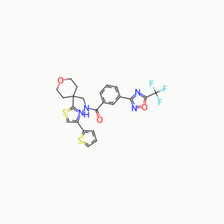 O=C(NCC1(c2nc(-c3cccs3)cs2)CCOCC1)c1cccc(-c2noc(C(F)(F)F)n2)c1